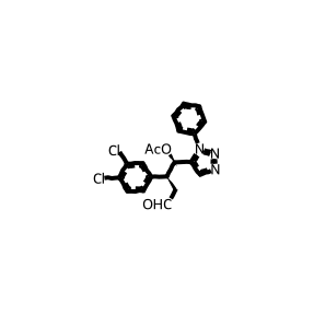 CC(=O)O[C@@H](c1cnnn1-c1ccccc1)[C@@H](CC=O)c1ccc(Cl)c(Cl)c1